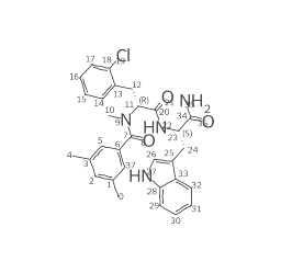 Cc1cc(C)cc(C(=O)N(C)[C@H](Cc2ccccc2Cl)C(=O)N[C@@H](Cc2c[nH]c3ccccc23)C(N)=O)c1